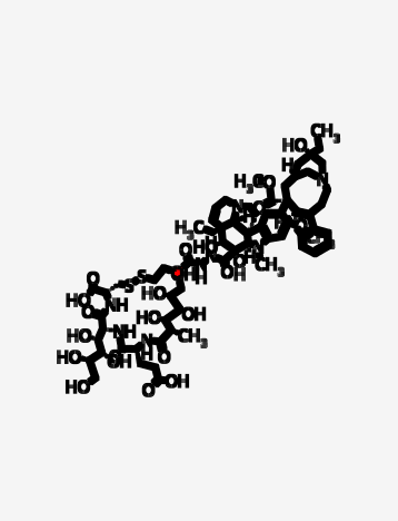 CC[C@]1(O)C[C@H]2CN(CCc3c([nH]c4ccccc34)[C@@](C(=O)OC)(c3cc4c(cc3OC)N(C)[C@H]3[C@](O)(C(=O)NNC(=O)OCCSSC[C@H](NC(=O)[C@H](NC(=O)[C@H](CCC(=O)O)NC(=O)[C@H](C)[C@@H](O)[C@H](O)[C@H](O)CO)[C@@H](O)[C@H](O)[C@H](O)CO)C(=O)O)[C@H](O)[C@]5(CC)C=CCN6CC[C@]43[C@@H]65)C2)C1